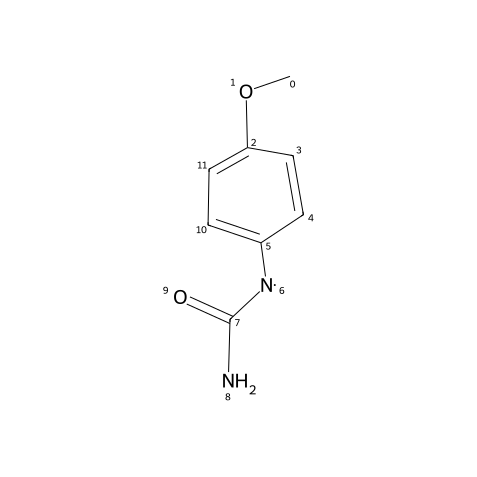 COc1ccc([N]C(N)=O)cc1